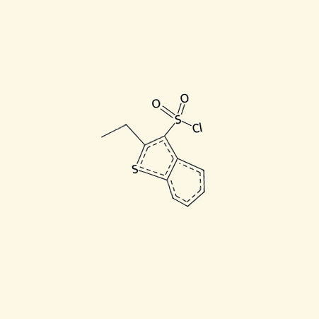 CCc1sc2ccccc2c1S(=O)(=O)Cl